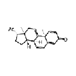 CC(=O)[C@H]1CC[C@H]2[C@@H]3C=CC4=CC(=O)C=C[C@]4(C)C3=CC[C@]12C